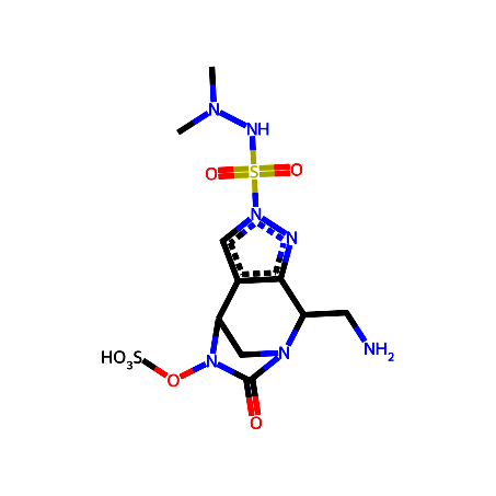 CN(C)NS(=O)(=O)n1cc2c(n1)C(CN)N1CC2N(OS(=O)(=O)O)C1=O